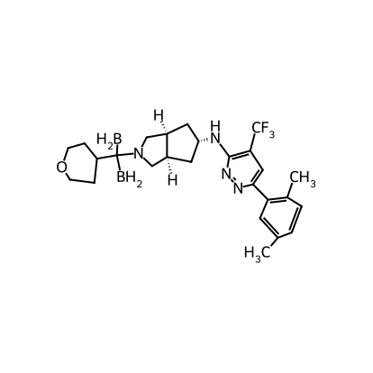 BC(B)(C1CCOCC1)N1C[C@H]2C[C@H](Nc3nnc(-c4cc(C)ccc4C)cc3C(F)(F)F)C[C@H]2C1